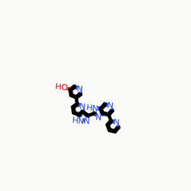 Oc1cncc(-c2ccc3[nH]nc(-c4nc5c(-c6ccccn6)cncc5[nH]4)c3n2)c1